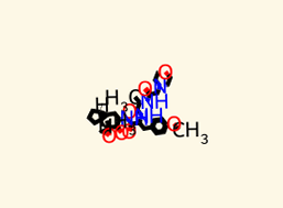 COc1ccc(CC(NC(=O)C(C)NC(=O)CN2CCOCC2)C(=O)NC(CC2[C@H]3CCC[C@@H]23)C(=O)C2(C)CO2)cc1